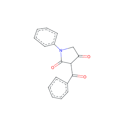 O=C1CN(c2ccccc2)C(=O)C1C(=O)c1ccccc1